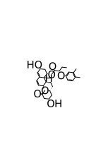 CCC(Oc1ccc(C)c(C)c1)C(=O)O[C@H]1C[C@H](O)C=C2C=C[C@H](C)[C@H](CC[C@@H]3C[C@@H](O)CC(=O)O3)[C@H]21